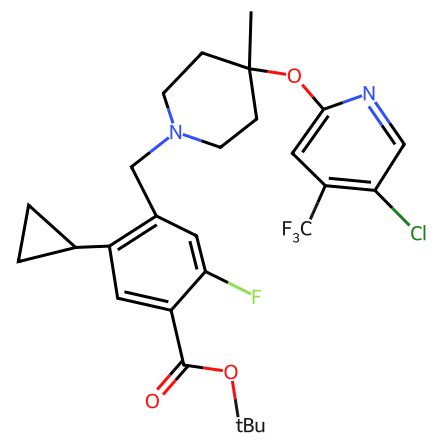 CC(C)(C)OC(=O)c1cc(C2CC2)c(CN2CCC(C)(Oc3cc(C(F)(F)F)c(Cl)cn3)CC2)cc1F